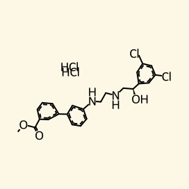 COC(=O)c1cccc(-c2cccc(NCCNC[C@H](O)c3cc(Cl)cc(Cl)c3)c2)c1.Cl.Cl